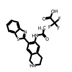 CC(=O)Nc1cc2c(cc1-c1nc3ccccc3s1)CNCC2.O=C(O)C(F)(F)F